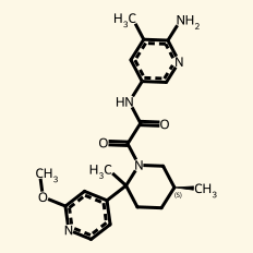 COc1cc(C2(C)CC[C@H](C)CN2C(=O)C(=O)Nc2cnc(N)c(C)c2)ccn1